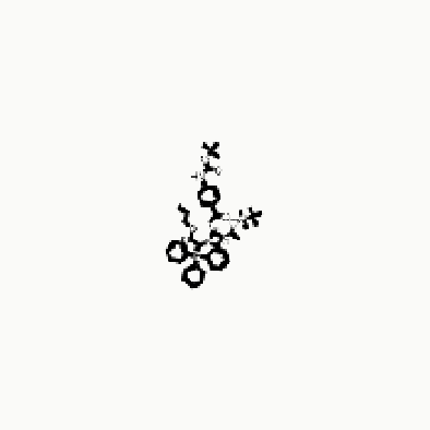 C=CCOC(=O)C(N1C(=O)[C@H](C(C)O[Si](C)(C)C(C)(C)C)[C@H]1CC(=O)c1ccc(NC(=O)OC(C)(C)C)cc1)=P(c1ccccc1)(c1ccccc1)c1ccccc1